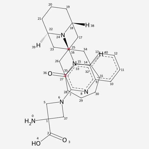 NC1(C(=O)O)CN(c2nc3ccccc3n(C3C[C@H]4CCC[C@H](C3)N4[C@@H]3CC4CCCC[C@@H](C4)C3)c2=O)C1